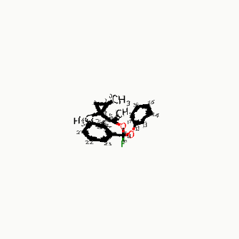 CC1CC1(C)C(C)(C)OC(F)(Oc1ccccc1)c1ccccc1